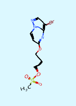 CS(=O)(=O)OCCCOc1ccn2ncc(Br)c2n1